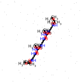 CC(C)O/C=C/C(C)(C)OC(=O)NCCCCCCNC(=O)OC[C@H](COC(=O)CNCCCCCCNC(=O)OC[C@H](COC(=O)NCCCCCCNC(=O)OC(C)(C)CCOC(C)C)NC(=O)OC(C)(C)C)NC(=O)OC(C)(C)C